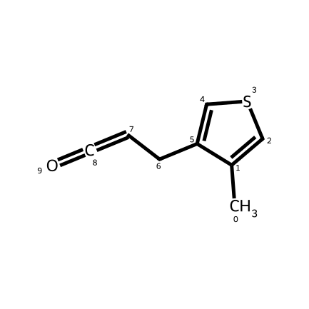 Cc1cscc1CC=C=O